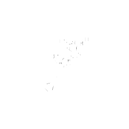 CNc1nc(N)nc2c1ncn2[C@@H]1O[C@H](COC(=O)Cc2ccccc2)[C@@H](CC(=O)C(C)C)[C@@]1(C)F